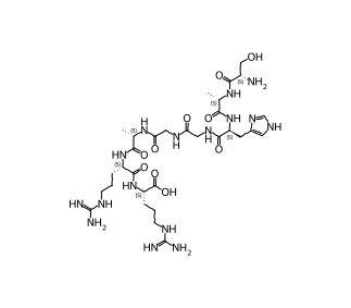 C[C@H](NC(=O)CNC(=O)CNC(=O)[C@H](Cc1c[nH]cn1)NC(=O)[C@H](C)NC(=O)[C@@H](N)CO)C(=O)N[C@@H](CCCNC(=N)N)C(=O)N[C@@H](CCCNC(=N)N)C(=O)O